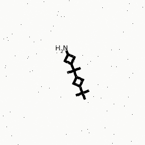 CC(C)(C)C1CC(C(C)(C)C2CC(N)C2)C1